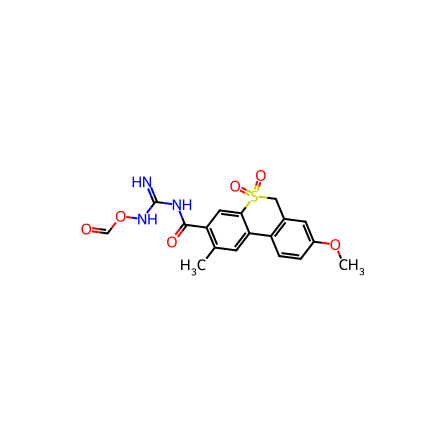 COc1ccc2c(c1)CS(=O)(=O)c1cc(C(=O)NC(=N)NOC=O)c(C)cc1-2